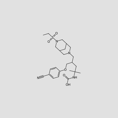 CCS(=O)(=O)N1CC2CC(CN(CC(COc3ccc(C#N)cc3)CC(C)(C)NC(=O)O)C2)C1